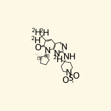 [2H]C1(Nc2ncc3cc(C([2H])([2H])[2H])c(=O)n([C@@H]4CCC[C@@H]4C)c3n2)CCN(S(C)(=O)=O)CC1